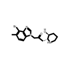 Cc1ccc2c(ncn2CC(=O)C[C@H]2NCCC[C@@H]2O)c1Br